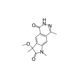 COC1(C)C(=O)N(C)c2cc3c(C)n[nH]c(=O)c3cc21